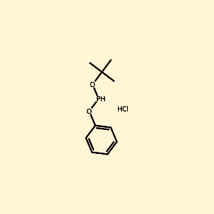 CC(C)(C)OPOc1ccccc1.Cl